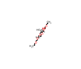 C=CCOCCOCCOCC=C.C=CCOCCOCCOCC=C.O=C(O)O